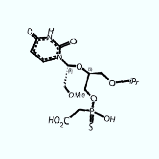 COC[C@@H](O[C@@H](COC(C)C)COP(O)(=S)CC(=O)O)n1ccc(=O)[nH]c1=O